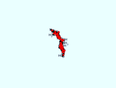 CC(C)C1=C2[C@H]3CC[C@@H]4[C@@]5(C)CC[C@H](OC(=O)CC(C)(Cc6nc(-c7nnc([C@H](O)[C@@]89CC[C@]%10(C)[C@H](CC[C@@H]%11[C@@]%12(C)CC[C@H](OC(=O)CC(C)(C)C(=O)O)C(C)(C)[C@@H]%12CC[C@]%11%10C)C8=C(C(C)C)C(=O)C9)n7CCN)ncc6C#N)C(=O)O)C(C)(C)[C@@H]5CC[C@@]4(C)[C@]3(C)CC[C@@]2(C(O)c2nnc(-c3ncc(C#N)cn3)n2CCN)CC1=O